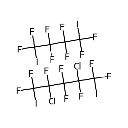 FC(F)(I)C(F)(Cl)C(F)(F)C(F)(Cl)C(F)(F)I.FC(F)(I)C(F)(F)C(F)(F)C(F)(F)I